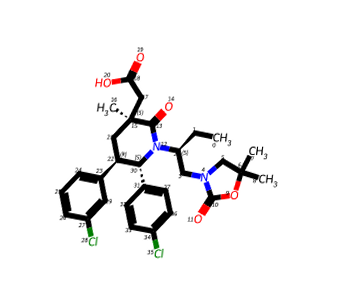 CC[C@@H](CN1CC(C)(C)OC1=O)N1C(=O)[C@](C)(CC(=O)O)C[C@H](c2cccc(Cl)c2)[C@H]1c1ccc(Cl)cc1